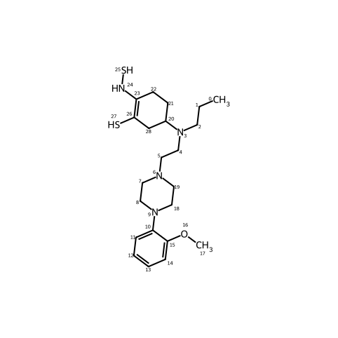 CCCN(CCN1CCN(c2ccccc2OC)CC1)C1CCC(NS)=C(S)C1